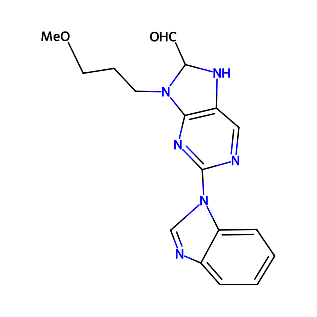 COCCCN1c2nc(-n3cnc4ccccc43)ncc2NC1C=O